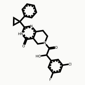 O=C(C(O)c1cc(F)cc(Cl)c1)N1CCc2nc(C3(c4ccccc4)CC3)[nH]c(=O)c2C1